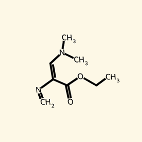 C=NC(=CN(C)C)C(=O)OCC